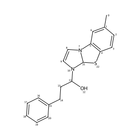 Cc1ccc2c(c1)N1C=CN(C(O)CCc3ccccc3)C1S2